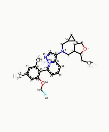 CCC1OCCC1CN(CC1CC1)c1cnn2c(-c3c(C)cc(C)cc3OCF)cccc12